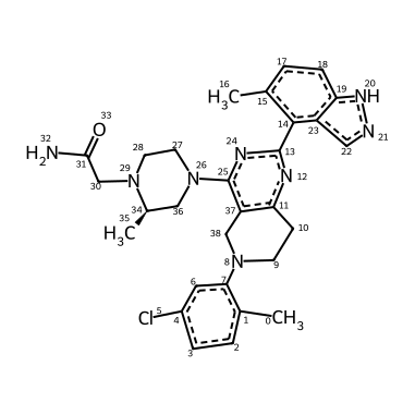 Cc1ccc(Cl)cc1N1CCc2nc(-c3c(C)ccc4[nH]ncc34)nc(N3CCN(CC(N)=O)[C@H](C)C3)c2C1